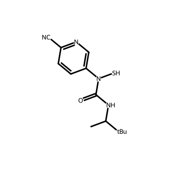 CC(NC(=O)N(S)c1ccc(C#N)nc1)C(C)(C)C